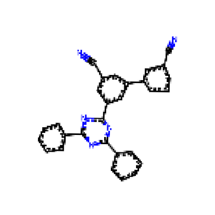 N#Cc1cccc(-c2cc(C#N)cc(-c3nc(-c4ccccc4)nc(-c4ccccc4)n3)c2)c1